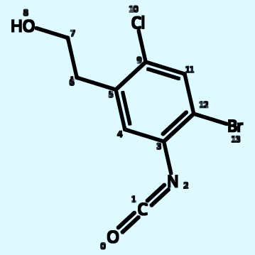 O=C=Nc1cc([CH]CO)c(Cl)cc1Br